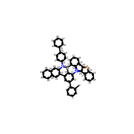 Cc1ccccc1-c1cc2c3c(c1)-n1c4c(cccc4c4sc5ccccc5c41)B3N(c1ccc(-c3ccccc3)cc1)c1cc3ccccc3cc1-2